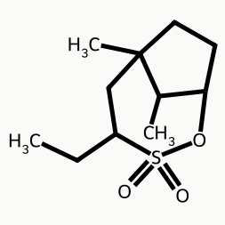 CCC1CC2(C)CCC(OS1(=O)=O)C2C